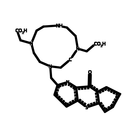 O=C(O)CN1CCNCCN(CC(=O)O)CCN(Cc2ccc3sc4ccccc4c(=O)c3n2)CC1